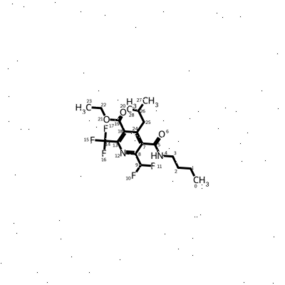 CCCCNC(=O)c1c(C(F)F)nc(C(F)(F)F)c(C(=O)OCC)c1CC(C)C